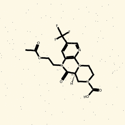 CC(=O)OCCN1C(=O)[C@@H]2CN(C(=O)O)CCN2c2ncc(C(F)(F)F)cc21